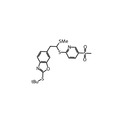 CSC(Cc1ccc2nc(SC(C)(C)C)oc2c1)Sc1ccc(S(C)(=O)=O)cn1